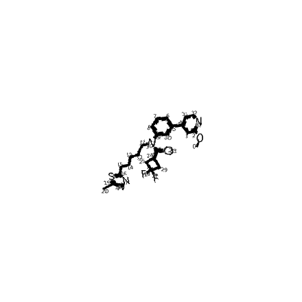 COc1cc(-c2cccc(N(CCCCCc3nnc(C)s3)C(=O)C3CC(F)(F)C3)c2)ccn1